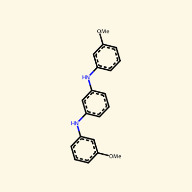 COc1cccc(Nc2cccc(Nc3cccc(OC)c3)c2)c1